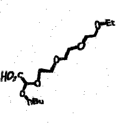 CCCCOC(OCCOCCOCCOCC)C(=O)O